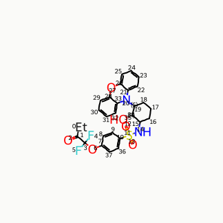 CCC(=O)C(F)(F)Oc1ccc(S(=O)(=O)NC2CCC[C@H](N3c4ccccc4Oc4ccccc43)[C@H]2O)cc1